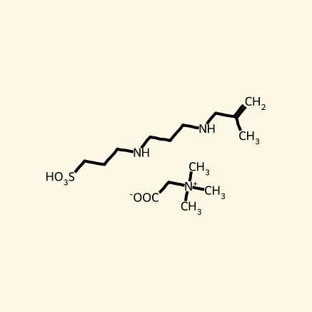 C=C(C)CNCCCNCCCS(=O)(=O)O.C[N+](C)(C)CC(=O)[O-]